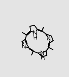 C/C1=C2\CC/C(=C(\C)C3=N/C(=C(/C)C4CC=C(N4)/C(C)=C4C=C1C=N\4)CC3)N2